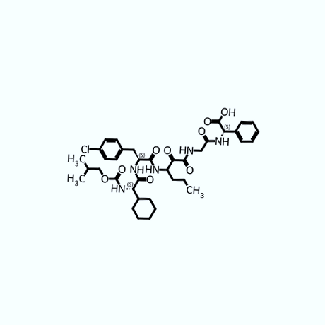 CCCC(NC(=O)[C@H](Cc1ccc(Cl)cc1)NC(=O)[C@@H](NC(=O)OCC(C)C)C1CCCCC1)C(=O)C(=O)NCC(=O)N[C@H](C(=O)O)c1ccccc1